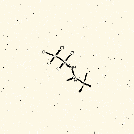 C[SiH](N[Si](Cl)(Cl)[Si](Cl)(Cl)Cl)[Si](C)(C)C